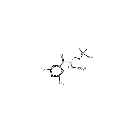 CC(C)(C)[Si](C)(C)OC[C@H](NC(=O)O)C(=O)c1cc(C(F)(F)F)cc(C(F)(F)F)c1